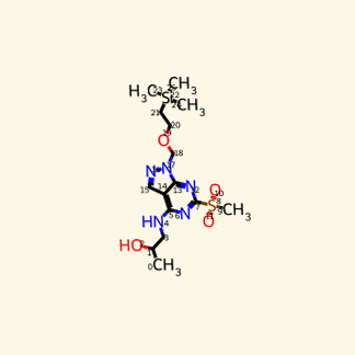 CC(O)CNc1nc(S(C)(=O)=O)nc2c1cnn2COCC[Si](C)(C)C